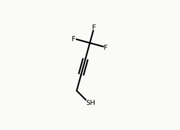 FC(F)(F)C#CCS